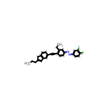 CCCC1=Cc2cc(C#Cc3ccc(N=Nc4ccc(F)c(F)c4)cc3CC)ccc2C1